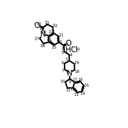 Cl.O=C(CCC1CCN(C2CCc3ccccc32)CC1)c1cc2c3c(c1)CCN3C(=O)CC2